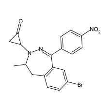 CC1Cc2ccc(Br)cc2C(c2ccc([N+](=O)[O-])cc2)=NN1C1CC1=O